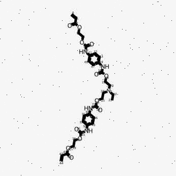 C=CC(=O)OCCOC(=O)Nc1ccc(NC(=O)OCCN(CC)CCOC(=O)Nc2ccc(NC(=O)OCCOC(=O)C=C)cc2)cc1